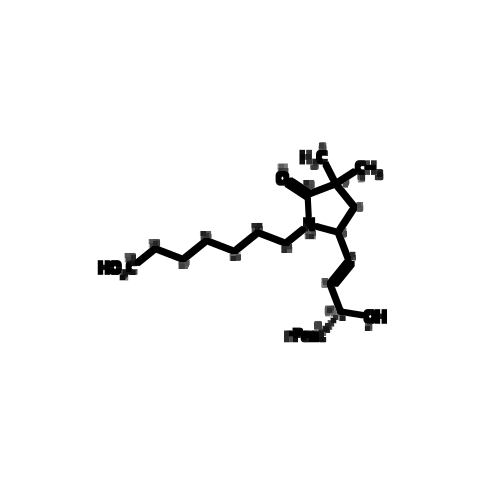 CCCCC[C@@H](O)C=CC1CC(C)(C)C(=O)N1CCCCCCC(=O)O